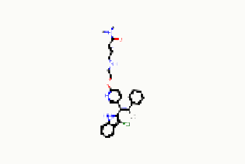 CC/C(=C(/c1ccc(OCCNC/C=C/C(=O)N(C)C)nc1)c1[nH]c2ccccc2c1Cl)c1ccccc1